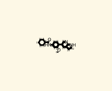 COc1cc(NC(=O)C2CCCCC2)ccc1-c1cnc2[nH]ccc2c1